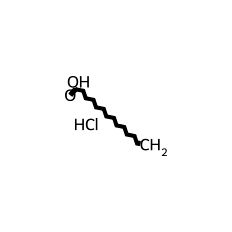 C=CCCCCCCCCCCCC(=O)O.Cl